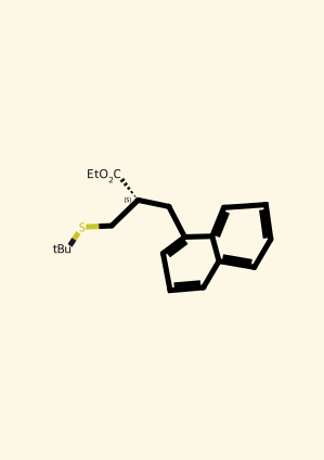 CCOC(=O)[C@@H](CSC(C)(C)C)Cc1cccc2ccccc12